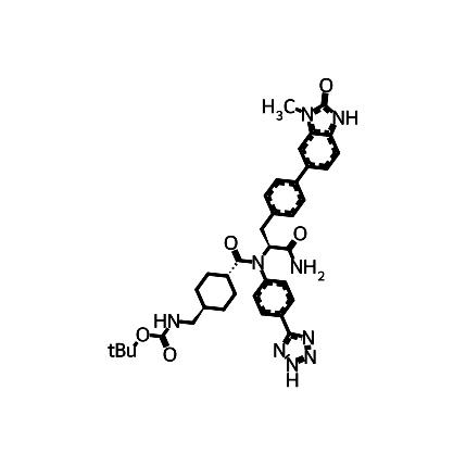 Cn1c(=O)[nH]c2ccc(-c3ccc(C[C@@H](C(N)=O)N(c4ccc(-c5nn[nH]n5)cc4)C(=O)[C@H]4CC[C@H](CNC(=O)OC(C)(C)C)CC4)cc3)cc21